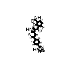 NC(=O)c1ccc(F)c(C(=O)c2c[nH]c3ncc(-c4ccc(-c5nnn[nH]5)cc4)cc23)c1F